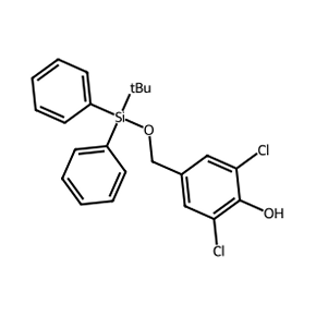 CC(C)(C)[Si](OCc1cc(Cl)c(O)c(Cl)c1)(c1ccccc1)c1ccccc1